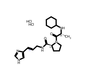 C[C@@H](NC1CCCCC1)C(=O)N1CCC[C@H]1C(=O)NC/C=C/c1c[nH]cn1.Cl.Cl